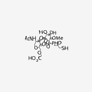 CO[C@@H]1C(C(=O)PCC(=O)CS)O[C@@H](O[C@@H]2C(NC(C)=O)COC(COCC(=O)O)[C@H]2O)C(O)[C@H]1O